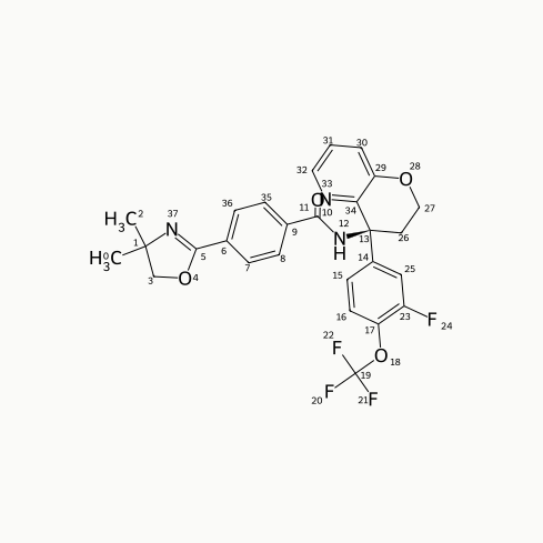 CC1(C)COC(c2ccc(C(=O)N[C@]3(c4ccc(OC(F)(F)F)c(F)c4)CCOc4cccnc43)cc2)=N1